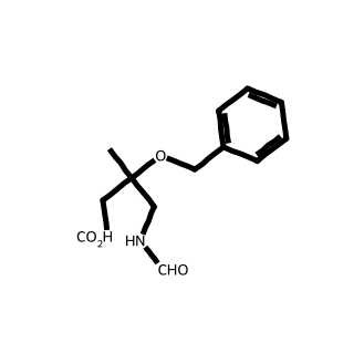 CC(CNC=O)(CC(=O)O)OCc1ccccc1